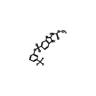 COC(=O)Nc1nc2cc(S(=O)(=O)Oc3cccc(C(F)(F)F)c3)ccc2[nH]1